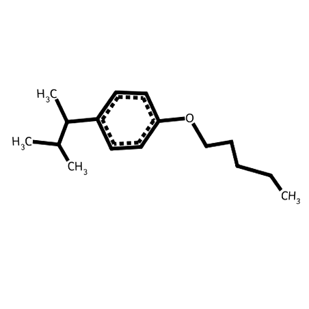 CCCCCOc1ccc(C(C)C(C)C)cc1